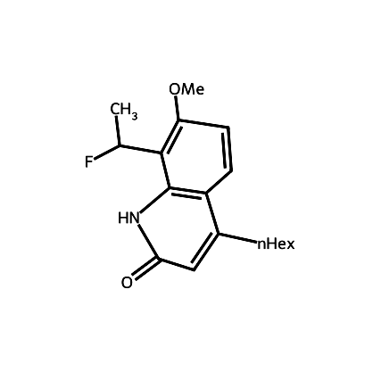 CCCCCCc1cc(=O)[nH]c2c(C(C)F)c(OC)ccc12